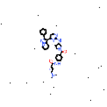 C[C@H]1CN(C(=O)c2ccc(NC(=O)/C=C/CN(C)C)cc2)C[C@@H]1Nc1nccc(-c2c(-c3ccccc3)nn3ccccc23)n1